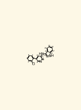 Clc1ccccc1-c1cnnc(Nc2n[nH]c3ccccc23)c1